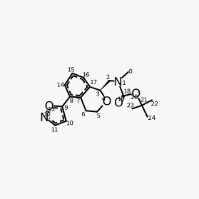 CN(C[C@H]1OCCc2c(-c3ccno3)cccc21)C(=O)OC(C)(C)C